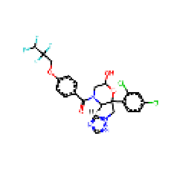 CC1N(C(=O)c2ccc(OCC(F)(F)C(F)F)cc2)CC(O)OC1(Cn1cncn1)c1ccc(Cl)cc1Cl